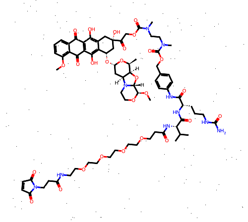 COc1cccc2c1C(=O)c1c(O)c3c(c(O)c1C2=O)C[C@@](O)(C(=O)COC(=O)N(C)CCN(C)C(=O)OCc1ccc(NC(=O)[C@H](CCCNC(N)=O)NC(=O)[C@@H](NC(=O)CCOCCOCCOCCOCCNC(=O)CCN2C(=O)C=CC2=O)C(C)C)cc1)C[C@@H]3O[C@H]1C[C@H]2[C@H](O[C@@H]3[C@@H](OC)OCCN32)[C@H](C)O1